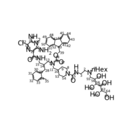 CCCCCCN(CCNC(=O)N1CCC(CN(CC(CNC(=O)c2nc(Cl)c(N)nc2N)Cc2ccccc2C)C(=O)OCC2c3ccccc3-c3ccccc32)CC1)CC(O)C(O)C(O)C(O)CO